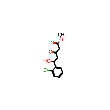 COC(=O)CC(=O)CC(O)c1ccccc1Cl